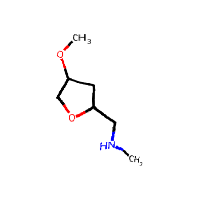 CNCC1CC(OC)CO1